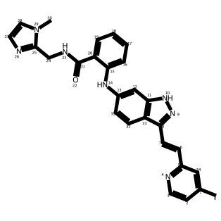 Cc1ccnc(C=Cc2n[nH]c3cc(Nc4ccccc4C(=O)NCc4nccn4C)ccc23)c1